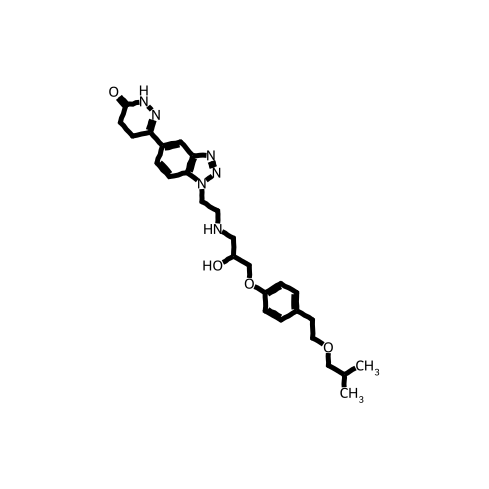 CC(C)COCCc1ccc(OCC(O)CNCCn2nnc3cc(C4=NNC(=O)CC4)ccc32)cc1